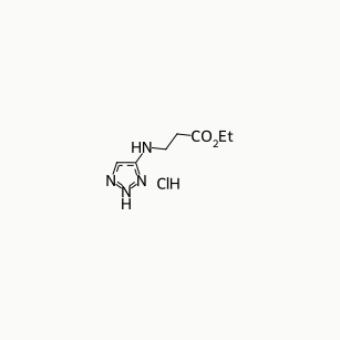 CCOC(=O)CCNc1cn[nH]n1.Cl